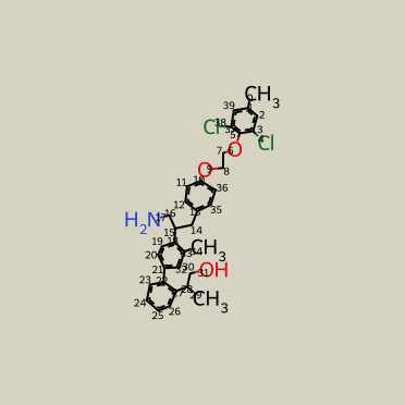 Cc1cc(Cl)c(OCCOc2ccc(CC(CN)c3ccc(-c4ccccc4C(C)CO)cc3C)cc2)c(Cl)c1